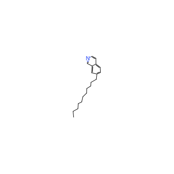 CCCCCCCCCCCc1ccc2ccncc2c1